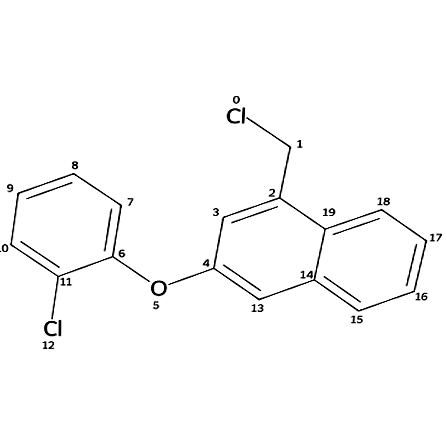 ClCc1cc(Oc2ccccc2Cl)cc2ccccc12